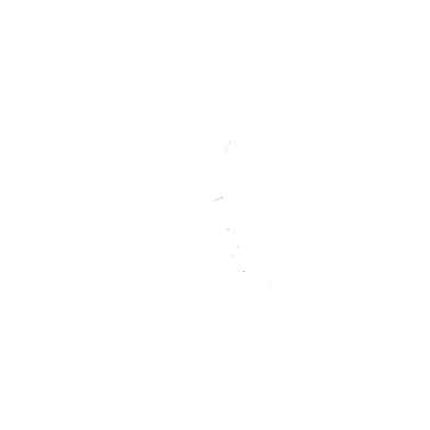 C#CCOC(=O)C(C)c1cc(C(C)(C)C)c(O)c(C(C)(C)C)c1